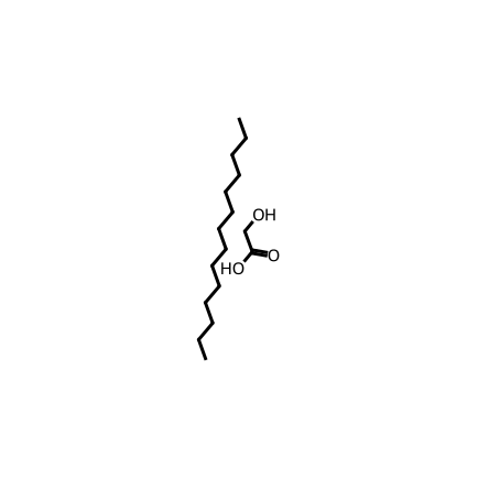 CCCCCCCCCCCCCC.O=C(O)CO